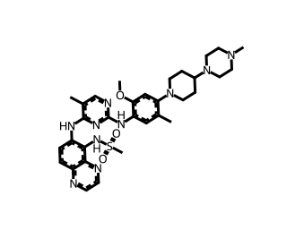 COc1cc(N2CCC(N3CCN(C)CC3)CC2)c(C)cc1Nc1ncc(C)c(Nc2ccc3nccnc3c2NS(C)(=O)=O)n1